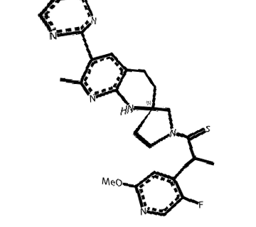 COc1cc(C(C)C(=S)N2CC[C@@]3(CCc4cc(-c5ncccn5)c(C)nc4N3)C2)c(F)cn1